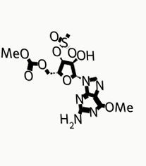 COC(=O)OC[C@H]1O[C@@H](n2cnc3c(OC)nc(N)nc32)[C@H](O)[C@H]1OS(C)(=O)=O